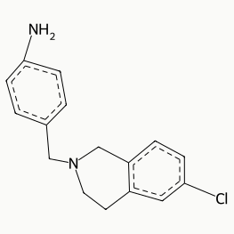 Nc1ccc(CN2CCc3cc(Cl)ccc3C2)cc1